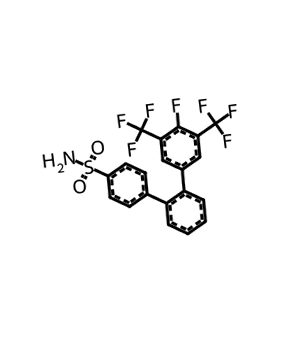 NS(=O)(=O)c1ccc(-c2ccccc2-c2cc(C(F)(F)F)c(F)c(C(F)(F)F)c2)cc1